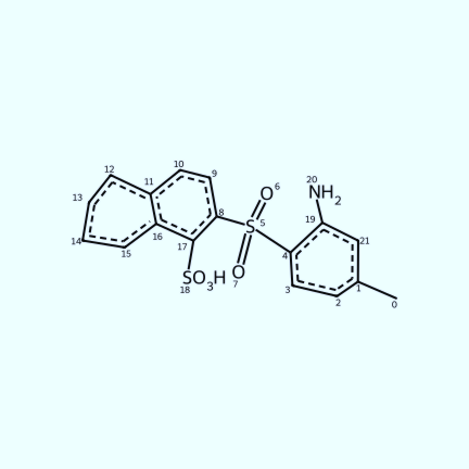 Cc1ccc(S(=O)(=O)c2ccc3ccccc3c2S(=O)(=O)O)c(N)c1